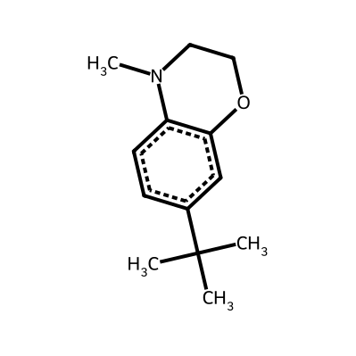 CN1CCOc2cc(C(C)(C)C)ccc21